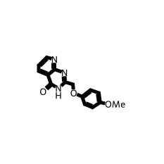 COc1ccc(OCc2nc3ncccc3c(=O)[nH]2)cc1